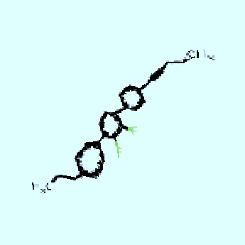 CCCC#Cc1ccc(-c2ccc(-c3ccc(CCC)cc3)c(F)c2F)cc1